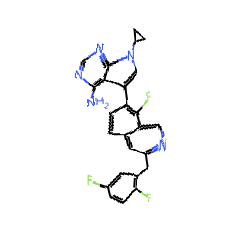 Nc1ncnc2c1c(-c1ccc3cc(Cc4cc(F)ccc4F)ncc3c1F)cn2C1CC1